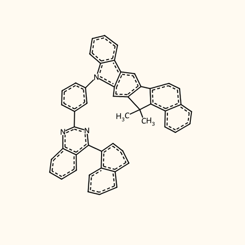 CC1(C)c2cc3c(cc2-c2ccc4ccccc4c21)c1ccccc1n3-c1cccc(-c2nc(-c3cccc4ccccc34)c3ccccc3n2)c1